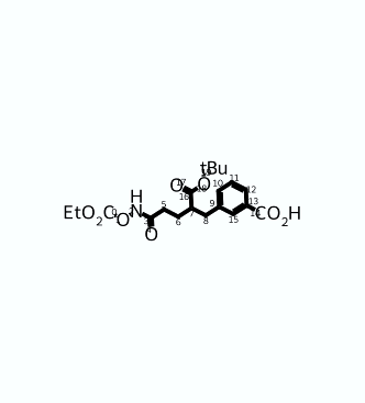 CCOC(=O)ONC(=O)CCC(Cc1cccc(C(=O)O)c1)C(=O)OC(C)(C)C